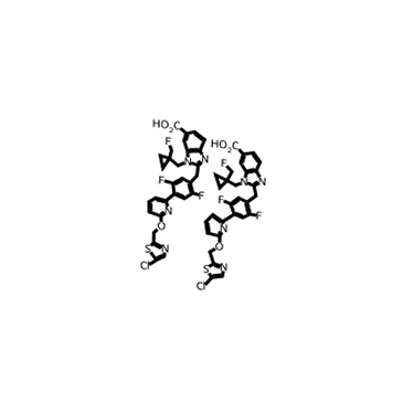 O=C(O)c1ccc2nc(Cc3cc(F)c(-c4cccc(OCc5ncc(Cl)s5)n4)cc3F)n(CC3(CF)CC3)c2c1.O=C(O)c1ccc2nc(Cc3cc(F)c(-c4cccc(OCc5ncc(Cl)s5)n4)cc3F)n(CC3(CF)CC3)c2c1